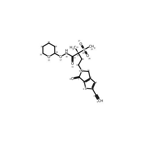 C#Cc1cc2c(s1)C(=O)N(CC[C@](C)(C(=O)NOC1CCCCO1)S(C)(=O)=O)C2